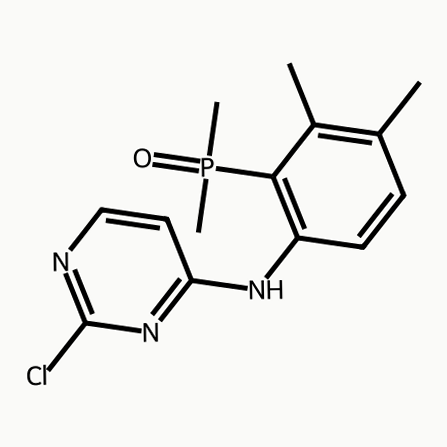 Cc1ccc(Nc2ccnc(Cl)n2)c(P(C)(C)=O)c1C